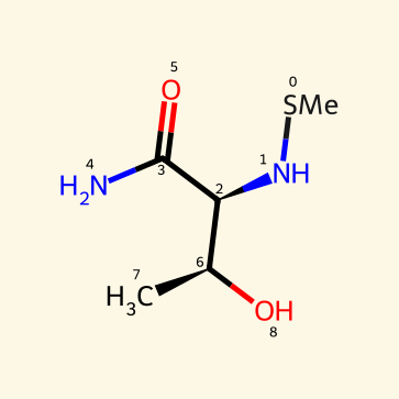 CSN[C@H](C(N)=O)[C@H](C)O